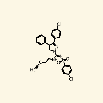 C#COCCN/C(=N\S(=O)(=O)c1ccc(Cl)cc1)N1CC(c2ccccc2)C(c2ccc(Cl)cc2)=N1